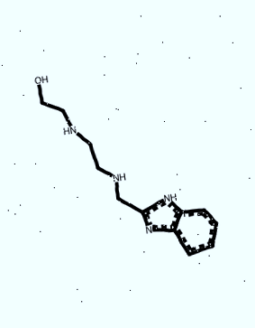 OCCNCCNCc1nc2ccccc2[nH]1